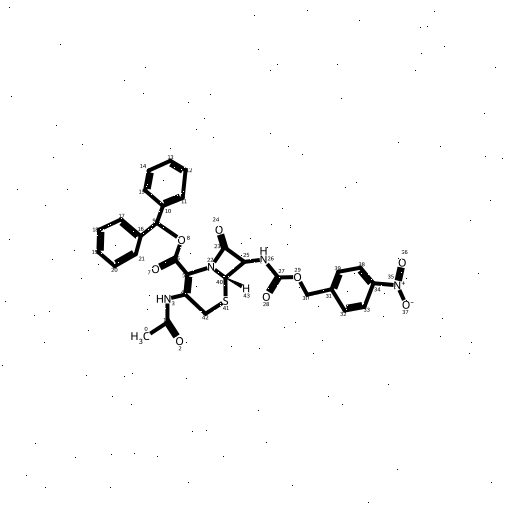 CC(=O)NC1=C(C(=O)OC(c2ccccc2)c2ccccc2)N2C(=O)C(NC(=O)OCc3ccc([N+](=O)[O-])cc3)[C@@H]2SC1